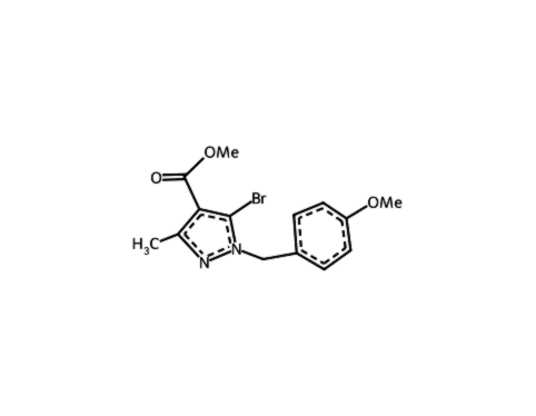 COC(=O)c1c(C)nn(Cc2ccc(OC)cc2)c1Br